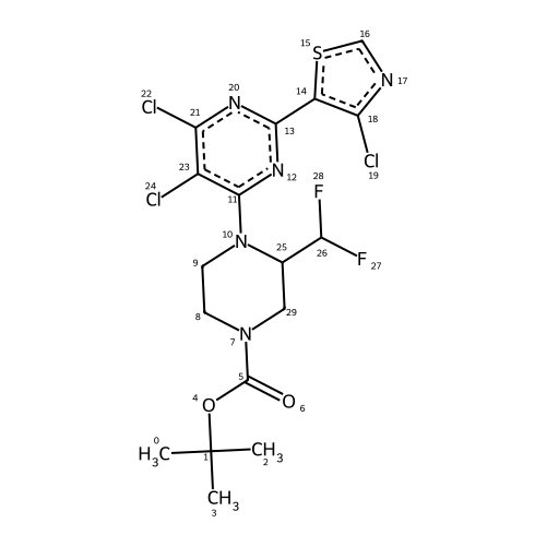 CC(C)(C)OC(=O)N1CCN(c2nc(-c3scnc3Cl)nc(Cl)c2Cl)C(C(F)F)C1